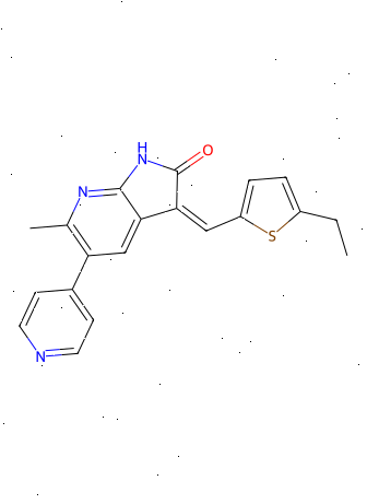 CCc1ccc(C=C2C(=O)Nc3nc(C)c(-c4ccncc4)cc32)s1